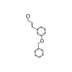 ClCC=Cc1cccc(OCc2ccccc2)c1